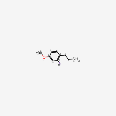 CC(C)(C)Oc1ccc(CC[SiH3])c(I)c1